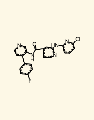 O=C(Nc1cnccc1-c1ccc(F)cc1)c1ccnc(Nc2cccc(Cl)n2)c1